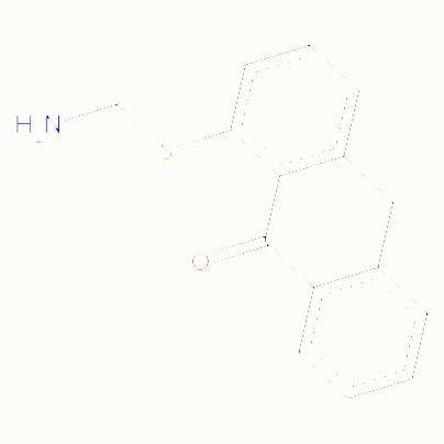 NCSc1cccc2c1C(=O)c1ccccc1C2